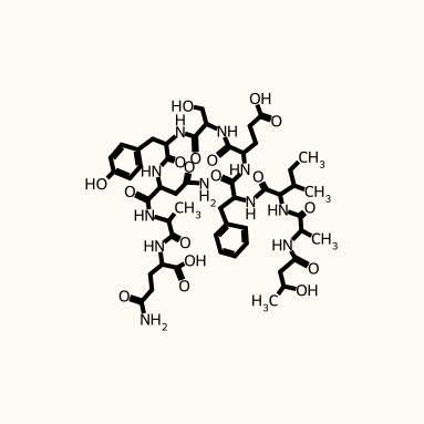 CCC(C)C(NC(=O)C(C)NC(=O)CC(C)O)C(=O)NC(Cc1ccccc1)C(=O)NC(CCC(=O)O)C(=O)NC(CO)C(=O)NC(Cc1ccc(O)cc1)C(=O)NC(CC(N)=O)C(=O)NC(C)C(=O)NC(CCC(N)=O)C(=O)O